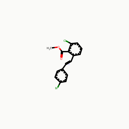 COC(=O)c1c(Cl)cccc1/C=C/c1ccc(Br)cc1